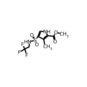 COC(=O)c1[nH]cc(S(=O)(=O)NCC(F)(F)F)c1C